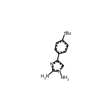 CC(C)(C)c1ccc(-c2cn(N)c(N)n2)cc1